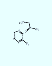 CCC(C)=O.Fc1ccccc1